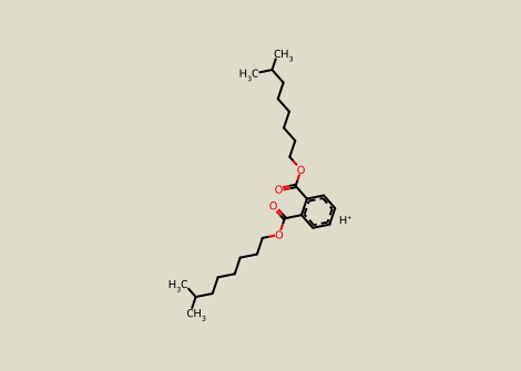 CC(C)CCCCCCOC(=O)c1ccccc1C(=O)OCCCCCCC(C)C.[H+]